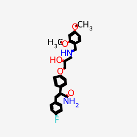 COc1ccc(CNCC(O)COc2ccc(C(=Cc3ccc(F)cc3)C(N)=O)cc2)c(OC)c1